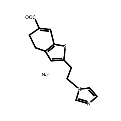 O=C([O-])C1=Cc2sc(CCn3ccnc3)cc2CC1.[Na+]